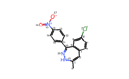 CC1=Cc2ccc(Cl)cc2C(c2ccc([N+](=O)[O-])cc2)=NN1